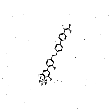 FC(F)=C(F)c1ccc(-c2ccc(CCc3ccc(-c4cc(F)c(S(F)(F)(F)(F)F)c(F)c4)c(F)c3)cc2)cc1